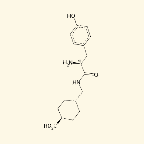 N[C@@H](Cc1ccc(O)cc1)C(=O)NC[C@H]1CC[C@H](C(=O)O)CC1